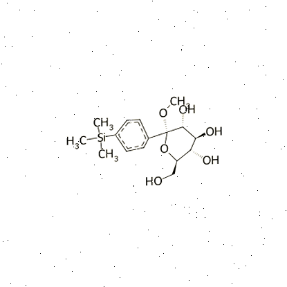 CO[C@@]1(c2ccc([Si](C)(C)C)cc2)O[C@H](CO)[C@@H](O)[C@H](O)[C@H]1O